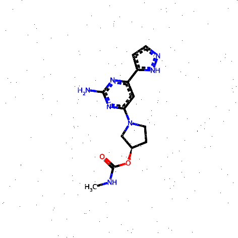 CNC(=O)O[C@@H]1CCN(c2cc(-c3ccn[nH]3)nc(N)n2)C1